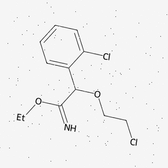 CCOC(=N)C(OCCCl)c1ccccc1Cl